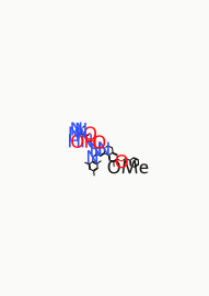 COc1cc2c(cc1OCc1ccccc1)CCn1c-2cc(=Nc2c(C)cc(C)cc2C)n(CCNC(=O)c2c(O)nnn2C)c1=O